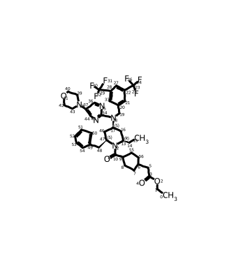 CCOC(=O)CC1CCC(C(=O)N2[C@H](CC)C[C@H](N(Cc3cc(C(F)(F)F)cc(C(F)(F)F)c3)c3ncc(N4CCOCC4)cn3)C[C@@H]2Cc2ccccc2)CC1